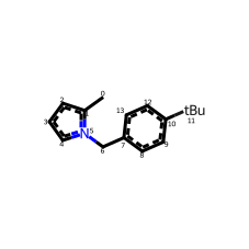 Cc1cccn1Cc1ccc(C(C)(C)C)cc1